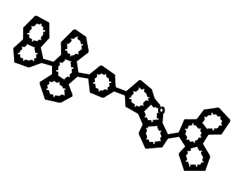 c1ccc2c(-c3c4ccccc4c(-c4ccc(-c5ccc6oc7c(-c8cc9ccccc9c9ccccc89)cccc7c6c5)cc4)c4ccccc34)cccc2c1